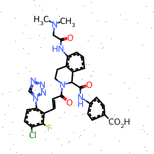 CN(C)CC(=O)Nc1cccc2c1CCN(C(=O)C=Cc1c(-n3cnnn3)ccc(Cl)c1F)C2C(=O)Nc1ccc(C(=O)O)cc1